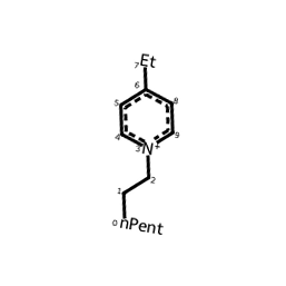 CCCCCCC[n+]1ccc(CC)cc1